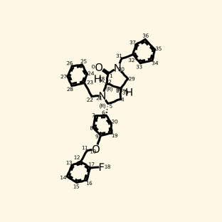 O=C1[C@H]2[C@H](C[C@H](c3ccc(OCc4ccccc4F)cc3)N2Cc2ccccc2)CN1Cc1ccccc1